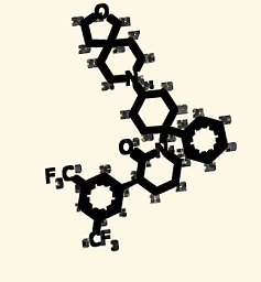 O=C1[C@H](c2cc(C(F)(F)F)cc(C(F)(F)F)c2)CCCN1C1(c2ccccc2)CCC(N2CCC3(CCOC3)CC2)CC1